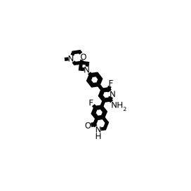 CN1CCOC2(C1)CN(c1ccc(-c3cc(-c4cc5c(cc4F)C(=O)NCC5)c(N)nc3F)cc1)C2